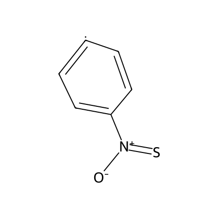 [O-][N+](=S)c1cc[c]cc1